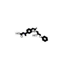 C/C(=C\C(=O)O)c1ccc(C[C@@H](C)NC[C@H](O)COc2ccccc2)cc1